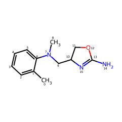 Cc1ccccc1N(C)CC1COC(N)=N1